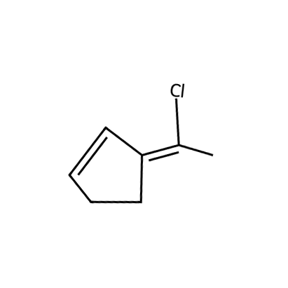 C/C(Cl)=C1/C=CCC1